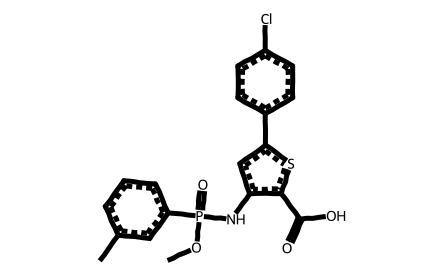 COP(=O)(Nc1cc(-c2ccc(Cl)cc2)sc1C(=O)O)c1cccc(C)c1